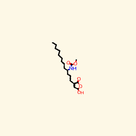 CCCCCCCCCC(CCCC1=CC(O)OC1=O)NC(=O)OC